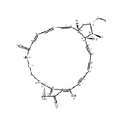 CC[C@H]1C[C@H]2/C=C/C=C/C=C\C(=O)NCCC[C@@H]3NC(=O)/C(=C(O)/C=C/C=C/C=C/[C@H]2[C@@H]1C)C3=O